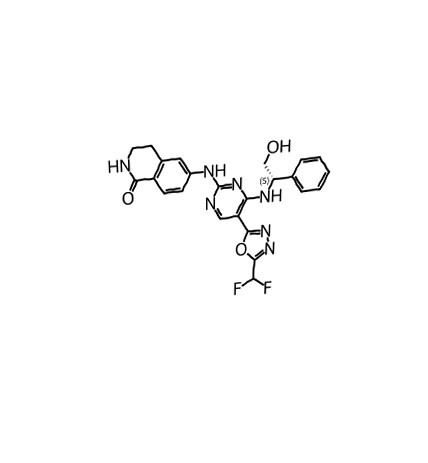 O=C1NCCc2cc(Nc3ncc(-c4nnc(C(F)F)o4)c(N[C@H](CO)c4ccccc4)n3)ccc21